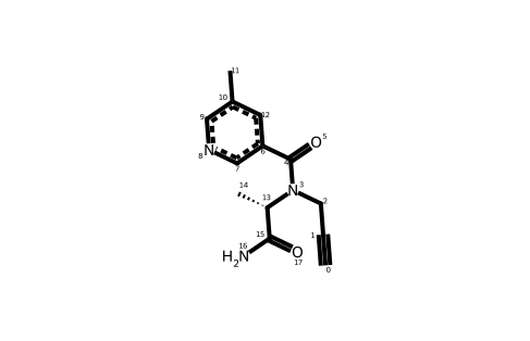 C#CCN(C(=O)c1cncc(C)c1)[C@@H](C)C(N)=O